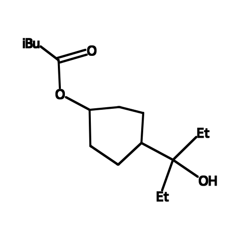 CCC(C)C(=O)OC1CCC(C(O)(CC)CC)CC1